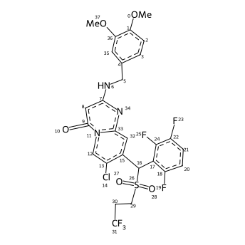 COc1ccc(CNc2cc(=O)n3cc(Cl)c(C(c4c(F)ccc(F)c4F)S(=O)(=O)CCC(F)(F)F)cc3n2)cc1OC